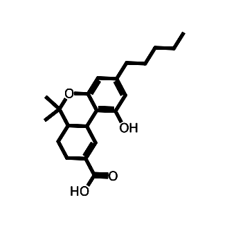 CCCCCc1cc(O)c2c(c1)OC(C)(C)C1CCC(C(=O)O)=CC21